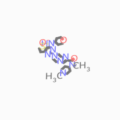 CN1CCC(N(C)C(=O)c2cn3c(n2)CN(c2nc4c(c(NC5CCOCC5)n2)[S+]([O-])CC4)CC3)CC1